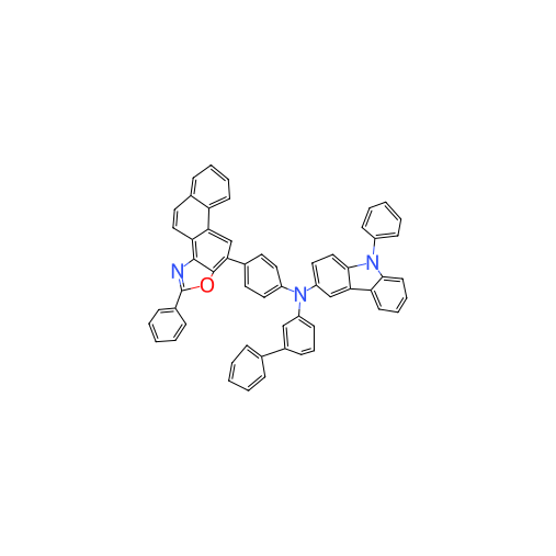 c1ccc(-c2cccc(N(c3ccc(-c4cc5c6ccccc6ccc5c5nc(-c6ccccc6)oc45)cc3)c3ccc4c(c3)c3ccccc3n4-c3ccccc3)c2)cc1